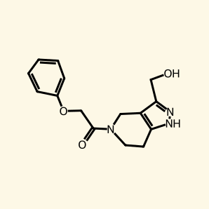 O=C(COc1ccccc1)N1CCc2[nH]nc(CO)c2C1